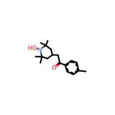 Cc1ccc(C(=O)CC2CC(C)(C)N(O)C(C)(C)C2)cc1